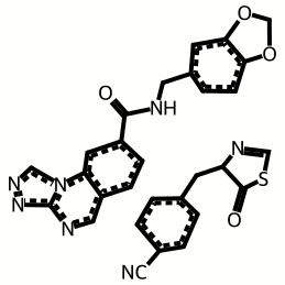 N#Cc1ccc(CC2N=CSC2=O)cc1.O=C(NCc1ccc2c(c1)OCO2)c1ccc2cnc3nncn3c2c1